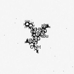 C=CCNC(=O)C(=O)C(CC1CC1)NC(=O)[C@@H]1C[C@@H](OC(=O)N2CCc3ccccc3C2)CN1C(=O)[C@@H](NC(=O)N[C@H](C(=O)C1CC1)C(C)(C)C)C(C)(C)C